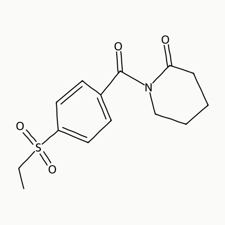 CCS(=O)(=O)c1ccc(C(=O)N2CCCCC2=O)cc1